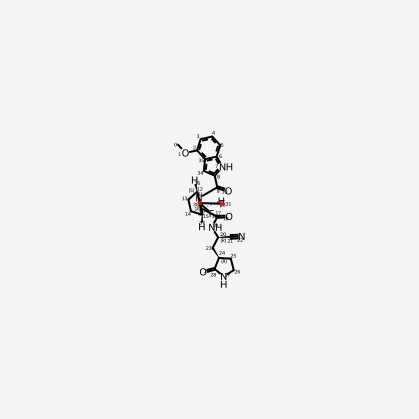 COc1cccc2[nH]c(C(=O)N3[C@H]4CC[C@@H]([C@@H]3C(=O)N[C@@H](C#N)C[C@H]3CCNC3=O)C(F)(F)C4)cc12